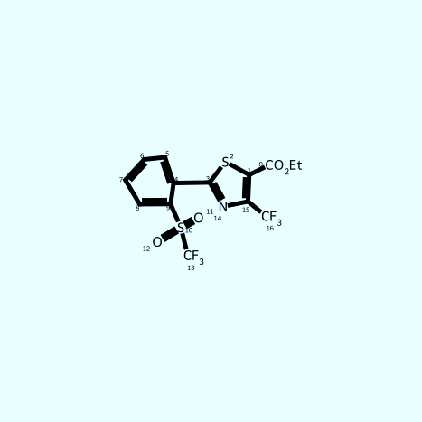 CCOC(=O)c1sc(-c2ccccc2S(=O)(=O)C(F)(F)F)nc1C(F)(F)F